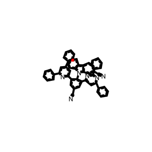 N#Cc1cc(-c2cc(-c3ccccc3)cc(-c3ccccc3)n2)c(-n2c3ccccc3c3ccc(C#N)cc32)c(-c2cc(-c3ccccc3)nc(-c3ccccc3)n2)c1